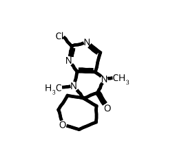 CN1C(=O)C2(CCCOCC2)N(C)c2nc(Cl)ncc21